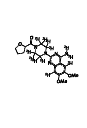 [2H]c1c(OC)c(OC)c([2H])c2c(N([2H])[2H])nc(N3C([2H])([2H])C([2H])([2H])N(C(=O)C4CCCO4)C([2H])([2H])C3([2H])[2H])nc12